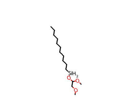 CCCCCCCCCCC[SiH2]OC(COC)OC